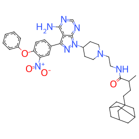 CC(CCC12CC3CC(CC(C3)C1)C2)C(=O)NCCN1CCC(n2nc(-c3ccc(Oc4ccccc4)c([N+](=O)[O-])c3)c3c(N)ncnc32)CC1